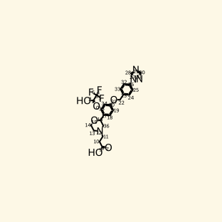 O=C(O)C(F)(F)F.O=C(O)CCN1CCOC(c2ccc(OCc3ccc(-n4cncn4)cc3)cc2)C1